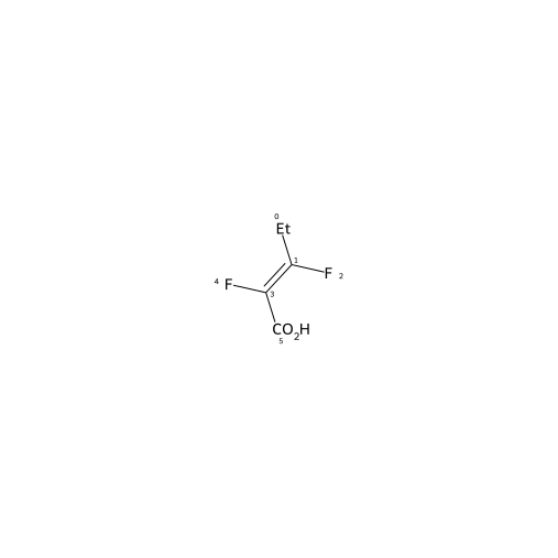 CCC(F)=C(F)C(=O)O